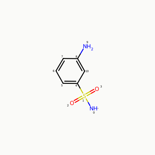 [NH]S(=O)(=O)c1cccc(N)c1